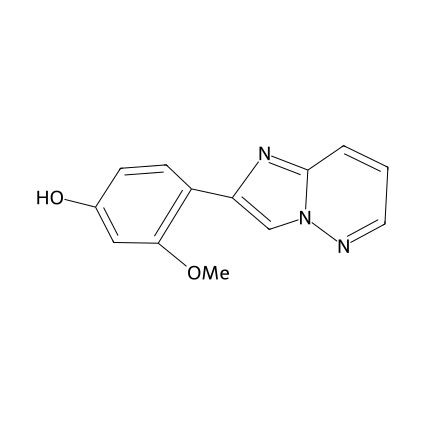 COc1cc(O)ccc1-c1cn2ncccc2n1